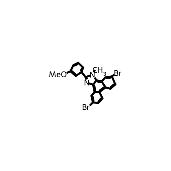 COc1cccc(-c2nc3c4cc(Br)ccc4c4ccc(Br)cc4c3n2C)c1